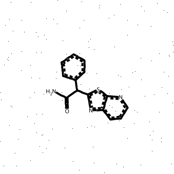 NC(=O)C(c1ccccc1)c1nc2cccnc2s1